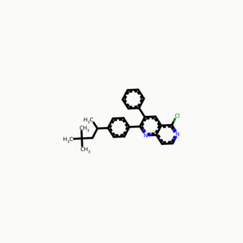 C[C](CC(C)(C)C)c1ccc(-c2nc3ccnc(Cl)c3cc2-c2ccccc2)cc1